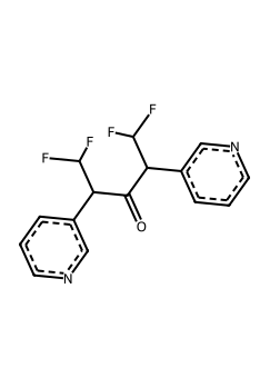 O=C(C(c1cccnc1)C(F)F)C(c1cccnc1)C(F)F